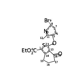 CCOC(=O)c1sc(Oc2ccc(Br)nc2C)c2c1CCCC2=O